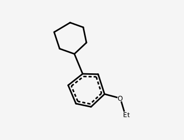 CCOc1cccc(C2CCCCC2)c1